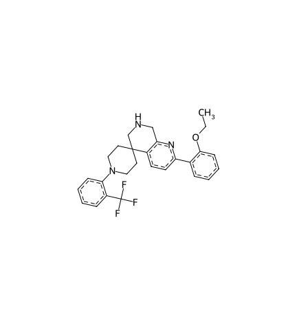 CCOc1ccccc1-c1ccc2c(n1)CNCC21CCN(c2ccccc2C(F)(F)F)CC1